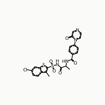 Cc1c(S(=O)(=O)NC(=O)C(C)NC(=O)c2ccc(-n3ccncc3=O)cc2)sc2cc(Cl)ccc12